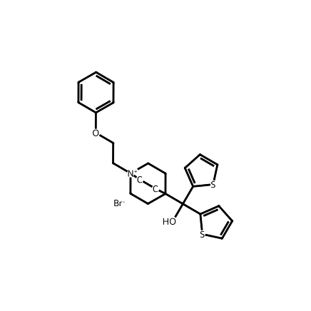 OC(c1cccs1)(c1cccs1)C12CC[N+](CCOc3ccccc3)(CC1)CC2.[Br-]